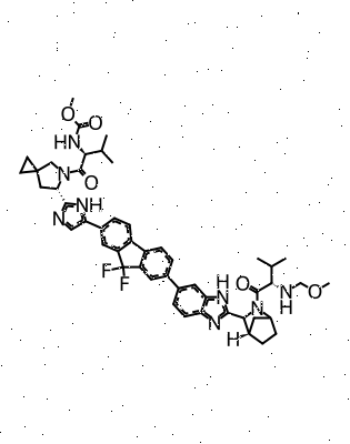 COCN[C@H](C(=O)N1C2CC[C@@H](C2)C1c1nc2ccc(-c3ccc4c(c3)C(F)(F)c3cc(-c5cnc([C@@H]6CC7(CC7)CN6C(=O)[C@@H](NC(=O)OC)C(C)C)[nH]5)ccc3-4)cc2[nH]1)C(C)C